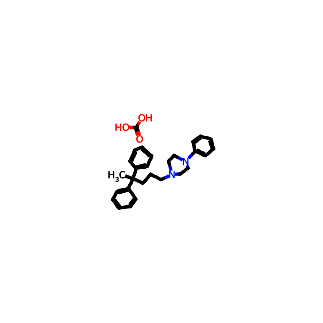 CC(CCCN1CCN(c2ccccc2)CC1)(c1ccccc1)c1ccccc1.O=C(O)O